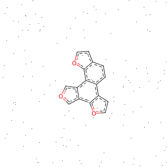 c1cc2c3ccc4ccoc4c3c3cocc3c2o1